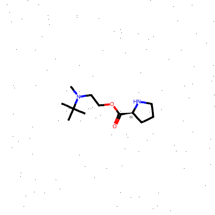 CN(CCOC(=O)[C@@H]1CCCN1)C(C)(C)C